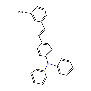 COc1cccc(C=Cc2ccc(N(c3ccccc3)c3ccccc3)cc2)c1